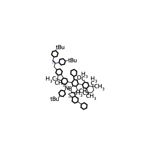 Cc1cc2c(cc1-c1c3c4c(c5c1oc1ccccc15)-c1cc5c(cc1N(c1ccc(C(C)(C)C)cc1)B4c1sc4ccc(-c6ccccc6)cc4c1C3C)C(C)(C)c1cc(C/C(=C/c3ccc(C(C)(C)C)cc3)c3ccc(C(C)(C)C)cc3)ccc1-5)C(C)(C)CCC2(C)C